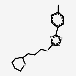 Cc1ccc(-c2nnc(SCCCC3CCCCO3)o2)cc1